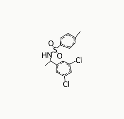 Cc1ccc(S(=O)(=O)NC(C)c2cc(Cl)cc(Cl)c2)cc1